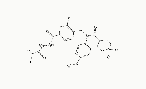 O=C(NNC(=O)C(F)F)c1ccc(CN(C(=O)N2CCS(=O)(=O)CC2)c2ccc(OC(F)(F)F)cc2)c(F)c1